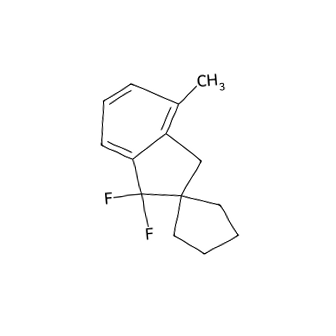 Cc1cccc2c1CC1(CCCC1)C2(F)F